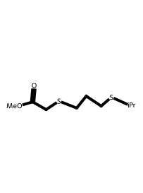 COC(=O)CSCCCSC(C)C